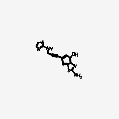 Nc1nc2c(O)cc(C#CCNc3nccs3)cc2s1